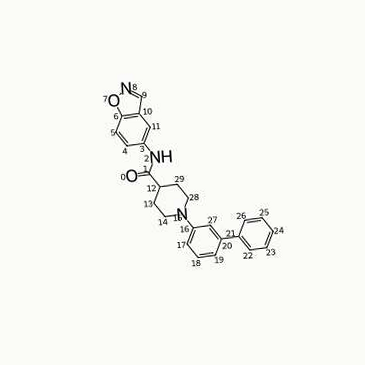 O=C(Nc1ccc2oncc2c1)C1CCN(c2cccc(-c3ccccc3)c2)CC1